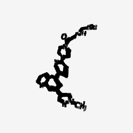 Cn1cc(-c2cc(-c3ccc(N4CCN(C(=O)NCC(C)(C)C)CC4)nc3)c3cccnc3c2)cn1